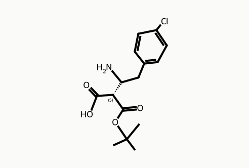 CC(C)(C)OC(=O)[C@H](C(=O)O)C(N)Cc1ccc(Cl)cc1